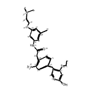 CCOc1cc(O)ncc1-c1ccc(CC(=O)Nc2cc(C)cc(OCCN(C)C)c2)c(P)c1